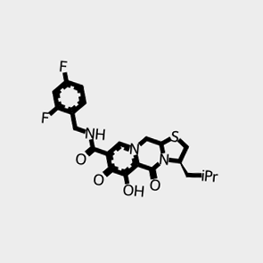 CC(C)C[C@@H]1CSC2Cn3cc(C(=O)NCc4ccc(F)cc4F)c(=O)c(O)c3C(=O)N21